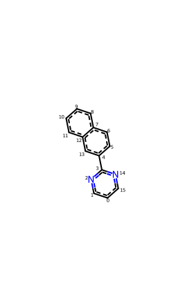 c1cnc(-c2ccc3ccccc3c2)nc1